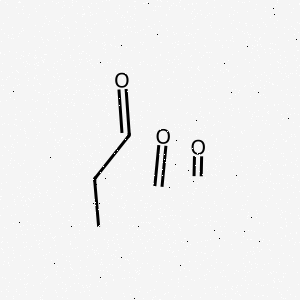 C=O.C=O.CCC=O